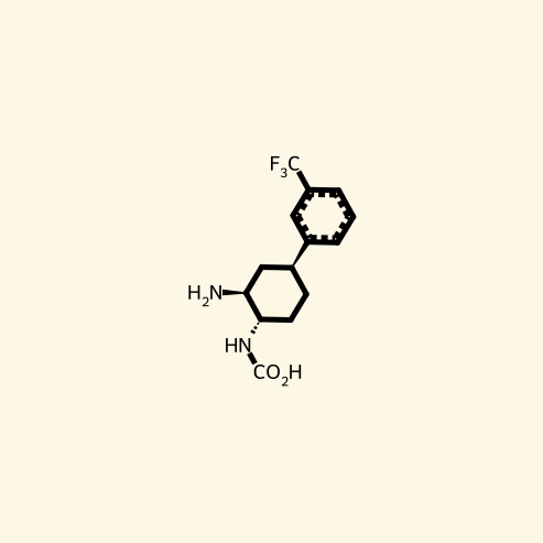 N[C@H]1C[C@@H](c2cccc(C(F)(F)F)c2)CC[C@@H]1NC(=O)O